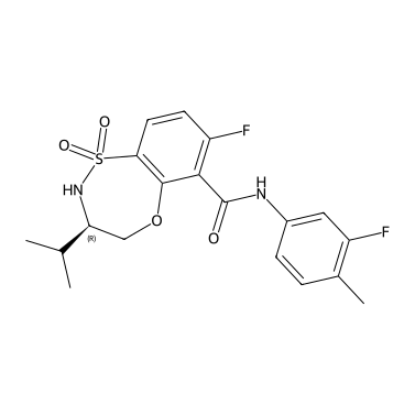 Cc1ccc(NC(=O)c2c(F)ccc3c2OC[C@@H](C(C)C)NS3(=O)=O)cc1F